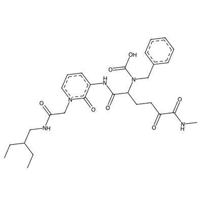 CCC(CC)CNC(=O)Cn1cccc(NC(=O)C(CCC(=O)C(=O)NC)N(Cc2ccccc2)C(=O)O)c1=O